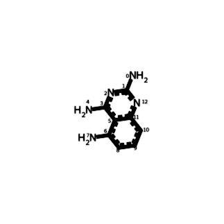 Nc1nc(N)c2c(N)cccc2n1